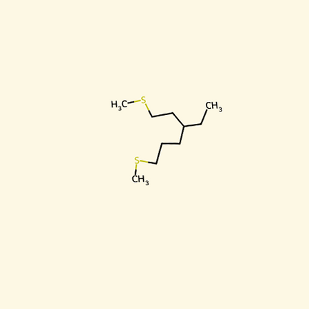 CCC(CCCSC)CCSC